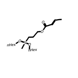 CC=CC(=O)OCCC[Si](C)(OCCCCCC)OCCCCCC